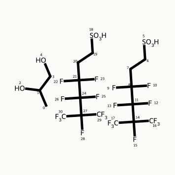 CC(O)CO.O=S(=O)(O)CCC(F)(F)C(F)(F)C(F)(C(F)(F)F)C(F)(F)F.O=S(=O)(O)CCC(F)(F)C(F)(F)C(F)(C(F)(F)F)C(F)(F)F